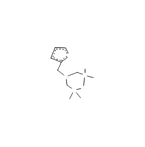 C[Si]1(C)CN(Cc2cccs2)C[Si](C)(C)O1